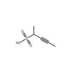 [CH2]C#CC(C)S(=O)(=O)O